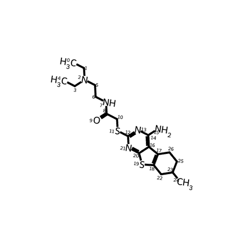 CCN(CC)CCNC(=O)CSc1nc(N)c2c3c(sc2n1)CC(C)CC3